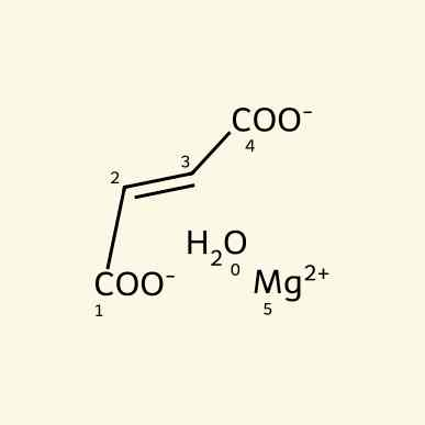 O.O=C([O-])C=CC(=O)[O-].[Mg+2]